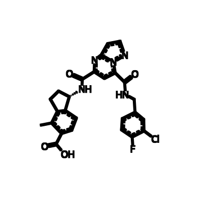 Cc1c(C(=O)O)ccc2c1CC[C@@H]2NC(=O)c1cc(C(=O)NCc2ccc(F)c(Cl)c2)n2nccc2n1